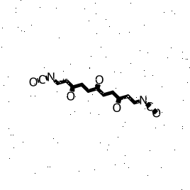 O=C=NCCC(=O)CCC(=O)CCC(=O)CCN=C=O